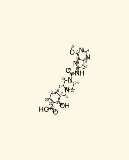 COc1ncnc2sc(NC(=O)N3CCN(Cc4cccc(C(=O)O)c4O)CC3)nc12